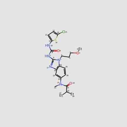 CCOCCCn1c(NC(=O)Nc2ccc(Cl)s2)nc2cc(N(C)C(=O)C(CC)CC)ccc21